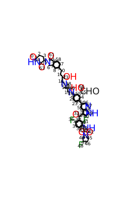 O=C1CC[C@@H](N2Cc3cc(CC[C@H](O)CN4CC5(C4)CN(c4ccc(-c6cnc7[nH]cc(C(=O)c8c(F)ccc(NS(=O)(=O)N9CC[C@@H](F)C9)c8F)c7c6)cc4)C5)ccc3C2=O)C(=O)N1.O=CO